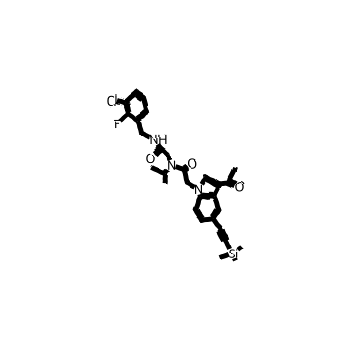 CC(=O)c1cn(CC(=O)N(CC(=O)NCc2cccc(Cl)c2F)C(C)C)c2ccc(C#C[Si](C)(C)C)cc12